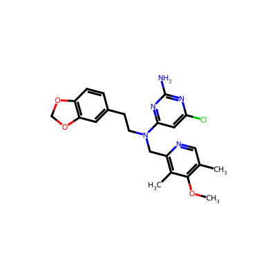 COc1c(C)cnc(CN(CCc2ccc3c(c2)OCO3)c2cc(Cl)nc(N)n2)c1C